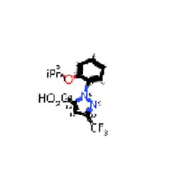 CC(C)Oc1ccccc1-n1nc(C(F)(F)F)cc1C(=O)O